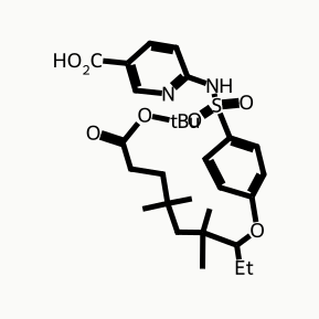 CCC(Oc1ccc(S(=O)(=O)Nc2ccc(C(=O)O)cn2)cc1)C(C)(C)CC(C)(C)CCC(=O)OC(C)(C)C